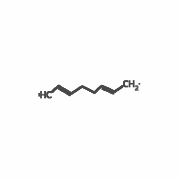 [CH]C=CCCC=C[CH2]